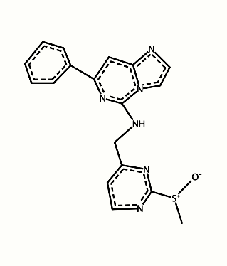 C[S+]([O-])c1nccc(CNc2nc(-c3ccccc3)cc3nccn23)n1